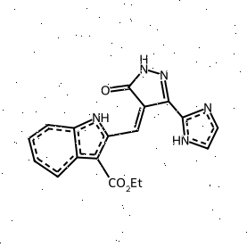 CCOC(=O)c1c(/C=C2\C(=O)NN=C2c2ncc[nH]2)[nH]c2ccccc12